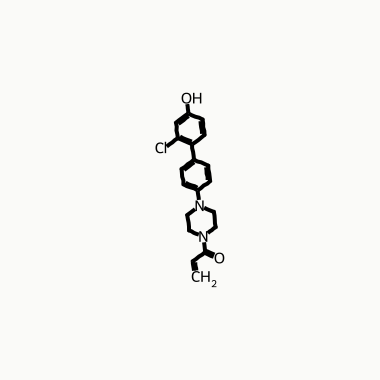 C=CC(=O)N1CCN(c2ccc(-c3ccc(O)cc3Cl)cc2)CC1